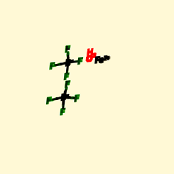 F[B-](F)(F)F.F[B-](F)(F)F.O.[Fe+2]